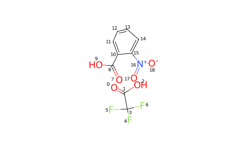 O=C(O)C(F)(F)F.O=C(O)c1ccccc1[N+](=O)[O-]